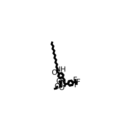 CCCCCCCCCCCCNC(=O)c1ccc(CN(C(=O)C(=O)OCC)C(C)c2ccc(C(F)(F)F)cc2)cc1